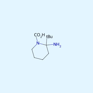 CC(C)(C)C1(N)CCCCN1C(=O)O